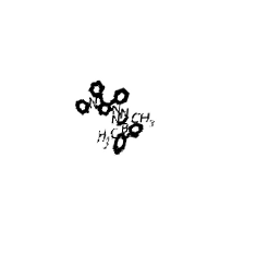 Cc1cccc2c1B(c1cnc(-n3c4ccccc4c4c5c6ccccc6n(-c6ccccc6)c5ccc43)nc1)c1c(C)cccc1-2